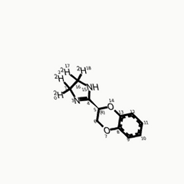 [2H]C1([2H])N=C([C@@H]2COc3ccccc3O2)NC1([2H])[2H]